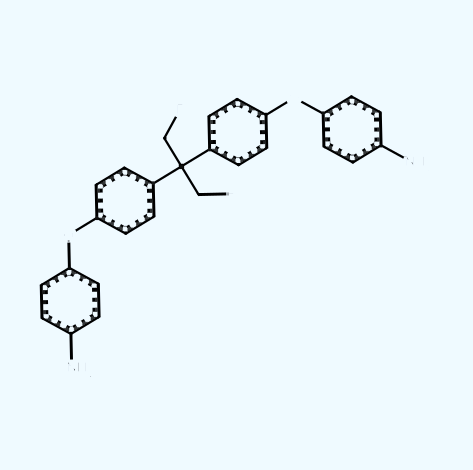 Nc1ccc(Oc2ccc(C(CF)(CF)c3ccc(Oc4ccc(N)cc4)cc3)cc2)cc1